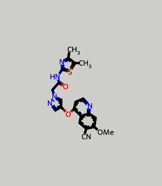 COc1cc2nccc(Oc3cnn(CC(=O)Nc4nc(C)c(C)s4)c3)c2cc1C#N